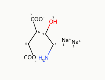 NCCO.O=C([O-])CCC(=O)[O-].[Na+].[Na+]